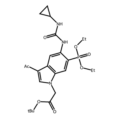 CCOP(=O)(OCC)c1cc2c(cc1NC(=O)NC1CC1)c(C(C)=O)cn2CC(=O)OC(C)(C)C